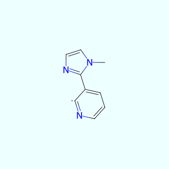 Cn1ccnc1-c1[c]nccc1